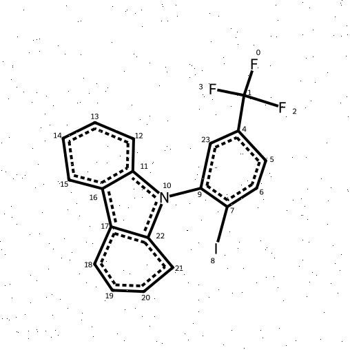 FC(F)(F)c1ccc(I)c(-n2c3ccccc3c3ccccc32)c1